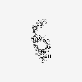 C=C[C@@]1(OC)[C@@H](CC)OC(=O)[C@H](C)C(=O)[C@H](C)[C@@H](OC2O[C@H](C)C[C@H](N(C)C)[C@H]2O)[C@@](C)(OC)C[C@@H](C)C(=O)[C@H](C)[C@H]1N(C=O)CCCCn1cnc(-c2ccc(OCC)nc2)c1